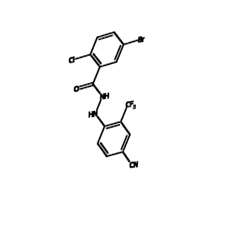 N#Cc1ccc(NNC(=O)c2cc(Br)ccc2Cl)c(C(F)(F)F)c1